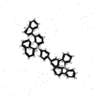 c1cc(-c2ccc(N(c3cccc(-c4cccc5ccccc45)c3)c3cccc4ccccc34)cc2)cc(-c2ccccc2-n2c3ccccc3c3ccccc32)c1